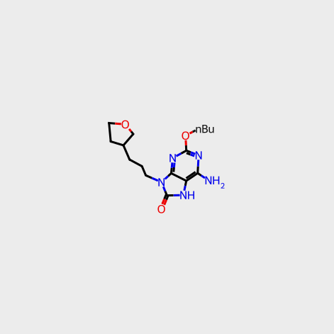 CCCCOc1nc(N)c2[nH]c(=O)n(CCCC3CCOC3)c2n1